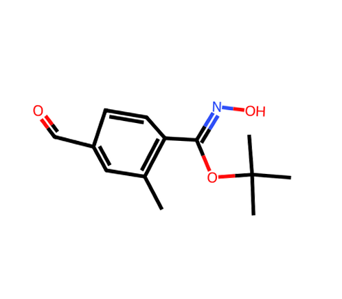 Cc1cc(C=O)ccc1C(=NO)OC(C)(C)C